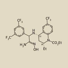 CCOC(=O)N1c2ccc(C(F)(F)F)cc2[C@@H](NC(C(N)=NO)c2cc(C(F)(F)F)cc(C(F)(F)F)c2)C[C@H]1CC